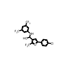 OC(Nc1cc(C(F)(F)F)cc(C(F)(F)F)c1)c1cc(-c2ccc(Cl)cc2)oc1C(F)(F)F